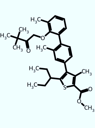 CCC(CC)c1sc(C(=O)OC)c(C)c1-c1ccc(-c2cccc(C)c2OCC(=O)C(C)(C)C)c(C)c1